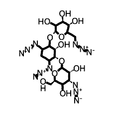 [N-]=[N+]=NCC1O[C@H](OC2C(N=[N+]=[N-])CC(N=[N+]=[N-])[C@@H](OC3O[C@H](CO)C(O)[C@@H](N=[N+]=[N-])[C@H]3O)[C@H]2O)C(O)[C@@H](O)[C@@H]1O